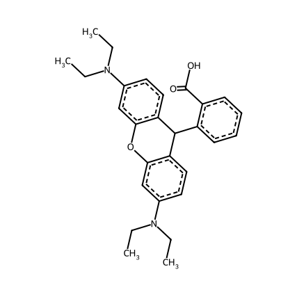 CCN(CC)c1ccc2c(c1)Oc1cc(N(CC)CC)ccc1C2c1ccccc1C(=O)O